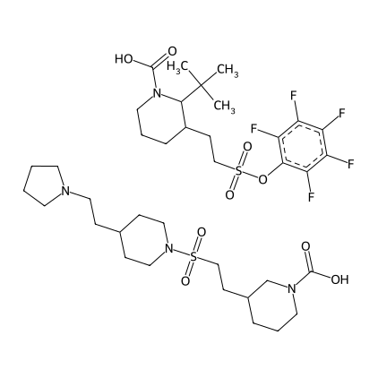 CC(C)(C)C1C(CCS(=O)(=O)Oc2c(F)c(F)c(F)c(F)c2F)CCCN1C(=O)O.O=C(O)N1CCCC(CCS(=O)(=O)N2CCC(CCN3CCCC3)CC2)C1